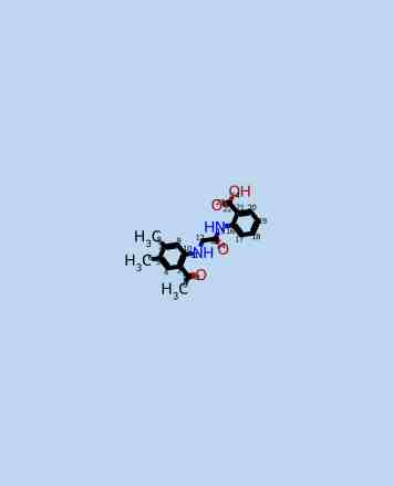 CC(=O)c1cc(C)c(C)cc1NCC(=O)Nc1ccccc1C(=O)O